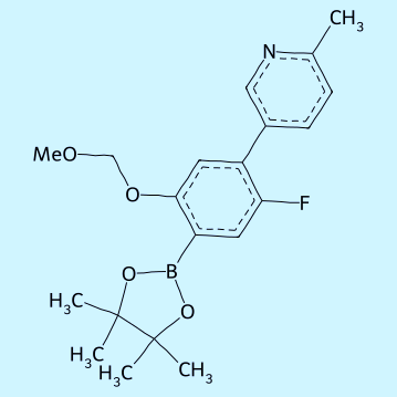 COCOc1cc(-c2ccc(C)nc2)c(F)cc1B1OC(C)(C)C(C)(C)O1